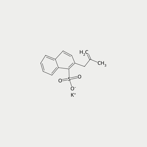 C=C(C)Cc1ccc2ccccc2c1S(=O)(=O)[O-].[K+]